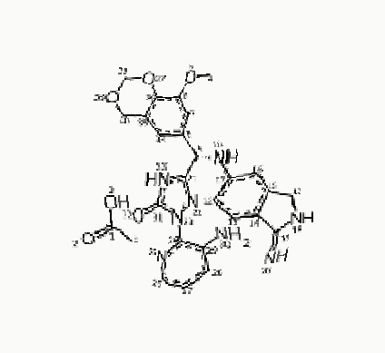 CC(=O)O.COc1cc([C@H](Nc2ccc3c(c2)CNC3=N)c2nn(-c3ncccc3N)c(=O)[nH]2)cc2c1OCOC2